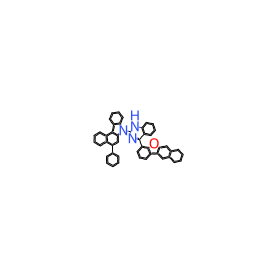 c1ccc(-c2cc3c(c4ccccc24)c2ccccc2n3C2N=C(c3cccc4c3oc3cc5ccccc5cc34)c3ccccc3N2)cc1